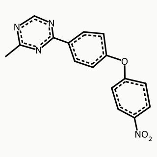 Cc1ncnc(-c2ccc(Oc3ccc([N+](=O)[O-])cc3)cc2)n1